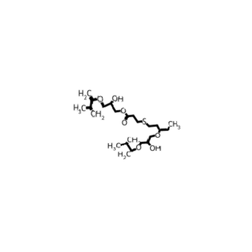 C=C(C)C(=C)OCC(O)COC(=O)CCSCC/C(=C\C)OCC(O)COC(=C)C(=C)C